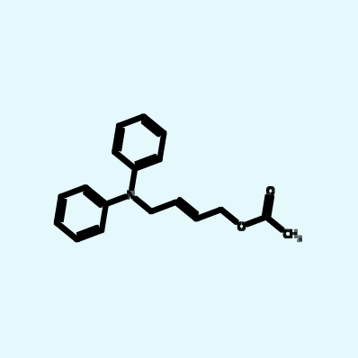 CC(=O)OC/C=C/CN(c1ccccc1)c1ccccc1